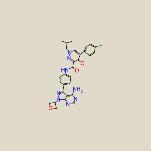 CC(C)Cn1cc(-c2ccc(F)cc2)c(=O)c(C(=O)Nc2ccc(-c3nn(C4COC4)c4ncnc(N)c34)cc2)n1